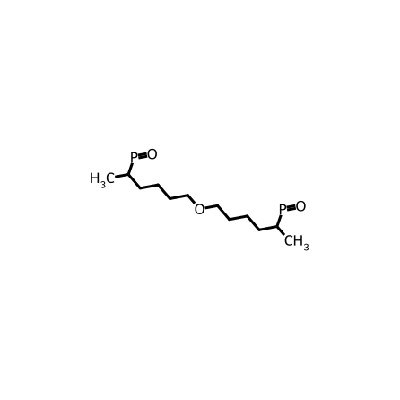 CC(CCCCOCCCCC(C)P=O)P=O